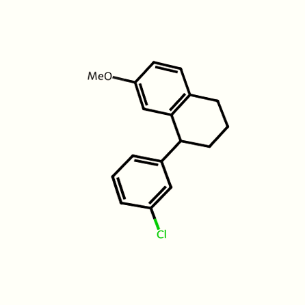 COc1ccc2c(c1)C(c1cccc(Cl)c1)CCC2